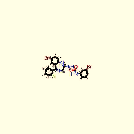 O=C(Nc1cccc(Br)c1)ONC1=Nc2ccc(Br)cc2C(c2ccccc2F)=NC1